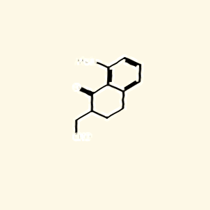 COc1cccc2c1C(=O)C(CC=O)CC2